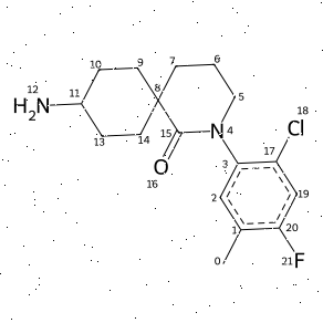 Cc1cc(N2CCCC3(CCC(N)CC3)C2=O)c(Cl)cc1F